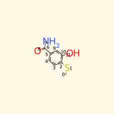 CSc1ccc(C(N)=O)cc1O